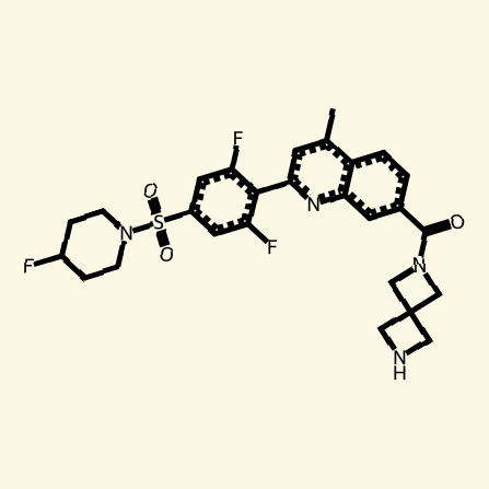 Cc1cc(-c2c(F)cc(S(=O)(=O)N3CCC(F)CC3)cc2F)nc2cc(C(=O)N3CC4(CNC4)C3)ccc12